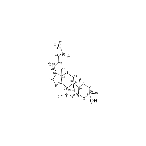 CC1C=C2C[C@@](C)(O)CCC2(C)[C@H]2CCC3(C)C(CCC3[C@H](C)CCC(C)C(F)(F)F)C12